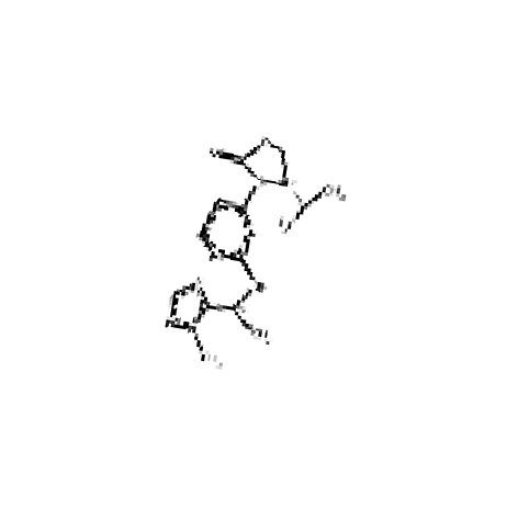 CC(C)[C@H]1COC(=O)N1c1ccnc(N[C@@H](C)c2ncnn2C)n1